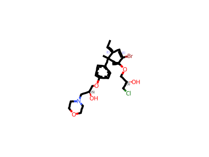 C=C(OC[C@H](O)CCl)/C(Br)=C\C(=C/C)C(C)(C)c1ccc(OC[C@@H](O)CN2CCOCC2)cc1